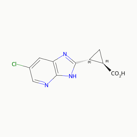 O=C(O)[C@@H]1C[C@H]1c1nc2cc(Cl)cnc2[nH]1